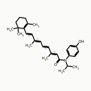 CC1=C(/C=C/C(C)=C/C=C/C(C)=C/C(=O)N(c2ccc(O)cc2)C(C)C)C(C)(C)CCC1